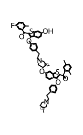 Cc1ccc(C)c(C(=O)c2sc3cc(OC4CN(CCc5ccc(Oc6c(C(=O)c7cc(F)ccc7C)sc7cc(O)ccc67)cc5)C[C@H]4C)ccc3c2Oc2ccc(CCN3CC[C@H](C)C3)cc2)c1